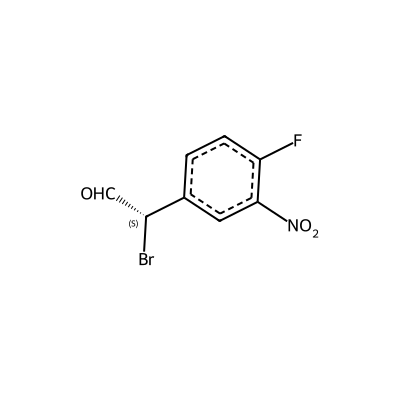 O=C[C@@H](Br)c1ccc(F)c([N+](=O)[O-])c1